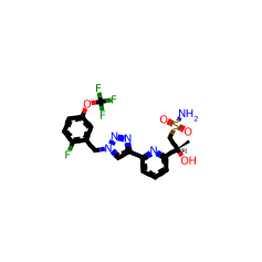 C[C@](O)(CS(N)(=O)=O)c1cccc(-c2cn(Cc3cc(OC(F)(F)F)ccc3F)nn2)n1